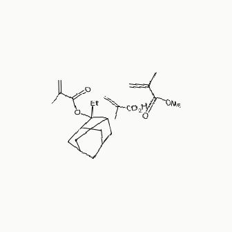 C=C(C)C(=O)O.C=C(C)C(=O)OC.C=C(C)C(=O)OC1(CC)C2CC3CC(C2)CC1C3